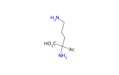 CC(=O)C(N)(CCCN)C(=O)O